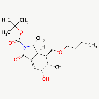 CCCCOC[C@H]1[C@H](C)[C@H](O)C=C2C(=O)N(C(=O)OC(C)(C)C)[C@H](C)[C@H]21